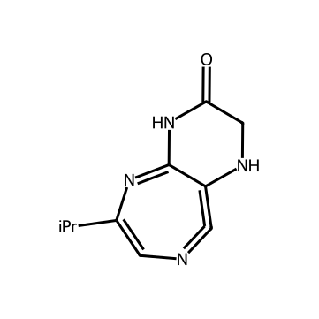 CC(C)C1=CN=C=C2NCC(=O)NC2=N1